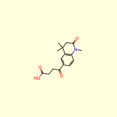 CN1C(=O)CC(C)(C)c2cc(C(=O)CCC(=O)O)ccc21